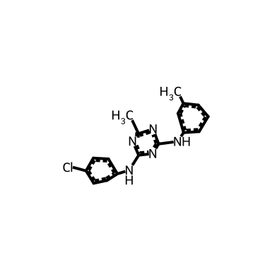 Cc1cccc(Nc2nc(C)nc(Nc3ccc(Cl)cc3)n2)c1